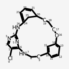 Clc1cnc2nc1NCCc1cccc(c1)OCCCC1C=CC=C(C1)N2